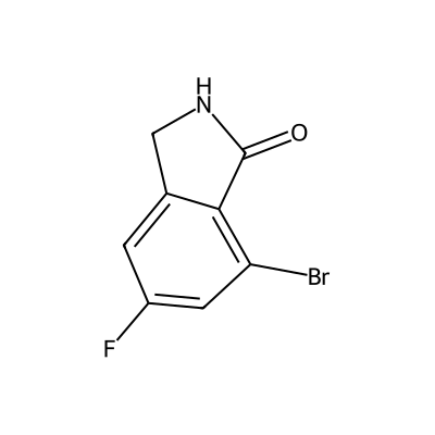 O=C1NCc2cc(F)cc(Br)c21